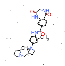 Cc1cc(N2CCC(CN3CCCC3C)C2)ccc1NC(=O)c1ccc2c(c1)NC(=O)CNC2=O